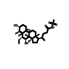 CC[C@H]1[C@@H](O)[C@@H]2[C@H](CC[C@]3(C)[C@@H](C(C)CCC(=O)NS(C)(=O)=O)CC[C@@H]23)[C@@]2(C)CC[C@@H](O)[C@H](F)[C@@H]12